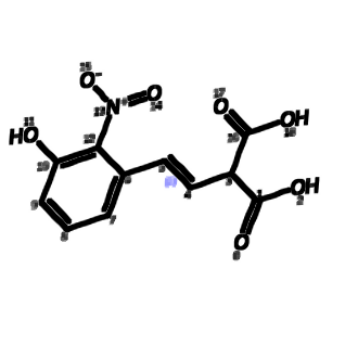 O=C(O)C(/C=C/c1cccc(O)c1[N+](=O)[O-])C(=O)O